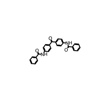 O=C(Nc1ccc(C(=O)c2ccc(NC(=O)c3ccccc3)cc2)cc1)c1ccccc1